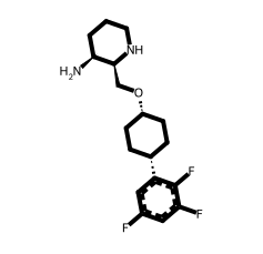 N[C@H]1CCCN[C@H]1CO[C@H]1CC[C@@H](c2cc(F)cc(F)c2F)CC1